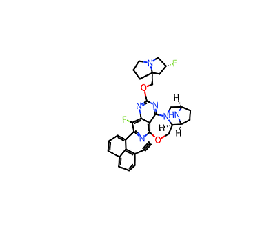 C#Cc1cccc2cccc(-c3nc4c5c(nc(OC[C@@]67CCCN6C[C@H](F)C7)nc5c3F)N3C[C@H]5CC[C@H](N5)[C@H]3CO4)c12